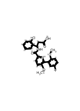 COc1ccc(F)cc1-c1nc(C(=O)NC(CC(=O)O)c2ccccc2Cl)ccc1OC